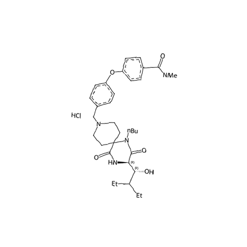 CCCCN1C(=O)[C@@H]([C@H](O)C(CC)CC)NC(=O)C12CCN(Cc1ccc(Oc3ccc(C(=O)NC)cc3)cc1)CC2.Cl